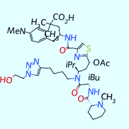 CC[C@H](C)[C@H](NC(=O)[C@H]1CCCCN1C)C(=O)N(CCCCc1cn(CCO)nn1)[C@H](C[C@@H](OC(C)=O)c1nc(C(=O)N[C@@H](Cc2ccc(NC)cc2)CC(C)(C)C(=O)O)cs1)C(C)C